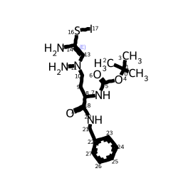 CC(C)(C)OC(=O)NC(CCN(N)/C=C(\N)SI)C(=O)NCc1ccccc1